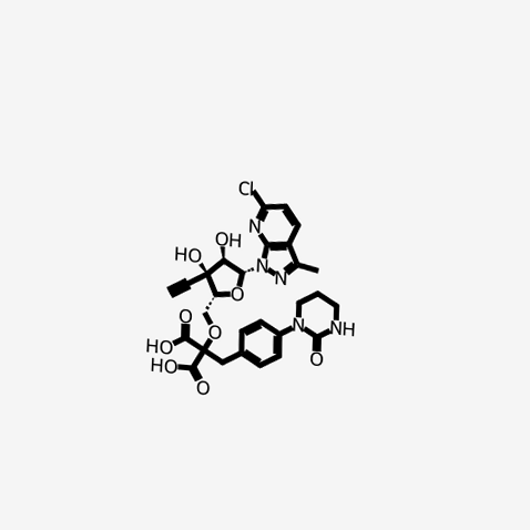 C#C[C@@]1(O)[C@@H](COC(Cc2ccc(N3CCCNC3=O)cc2)(C(=O)O)C(=O)O)O[C@@H](n2nc(C)c3ccc(Cl)nc32)[C@@H]1O